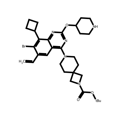 C=Cc1cc2c(N3CCC4(CC3)CN(C(=O)OC(C)(C)C)C4)nc(OC3CCNCC3)nc2c(C2CCC2)c1Br